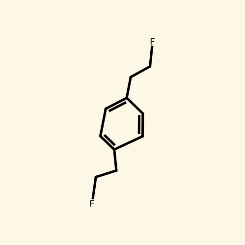 FCCc1ccc(CCF)cc1